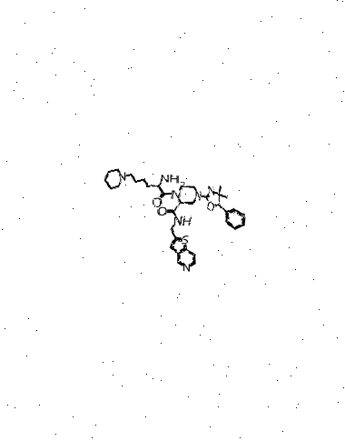 CC1(C)N=C(N2CCN(C(=O)[C@H](N)CCCCN3CCCCC3)[C@H](C(=O)NCc3cc4cnccc4s3)C2)OC1c1ccccc1